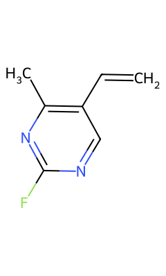 C=Cc1cnc(F)nc1C